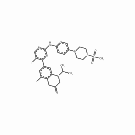 CC(C)N1CC(=O)Cc2c(F)cc(-c3nc(Nc4ccc(N5CCN(S(C)(=O)=O)CC5)cn4)ncc3F)cc21